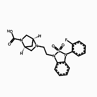 O=C(O)N1C[C@@H]2C[C@H]1CN2CCN1c2ccccc2N(c2ccccc2F)S1(=O)=O